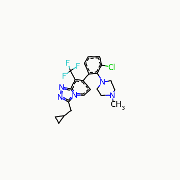 CN1CCN(c2c(Cl)cccc2-c2ccn3c(CC4CC4)nnc3c2C(F)(F)F)CC1